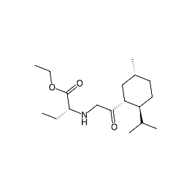 CCOC(=O)[C@@H](CC)NCC(=O)[C@@H]1C[C@H](C)CC[C@H]1C(C)C